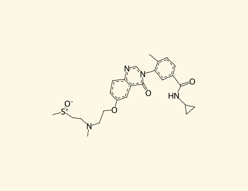 Cc1ccc(C(=O)NC2CC2)cc1-n1cnc2ccc(OCCN(C)CC[S+](C)[O-])cc2c1=O